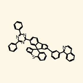 c1ccc(-c2nc(-c3ccccc3)nc(-c3ccc4c(c3)C3(c5ccccc5Sc5ccccc53)c3cc(-c5cccc(-c6nccc7ccccc67)c5)ccc3-4)n2)cc1